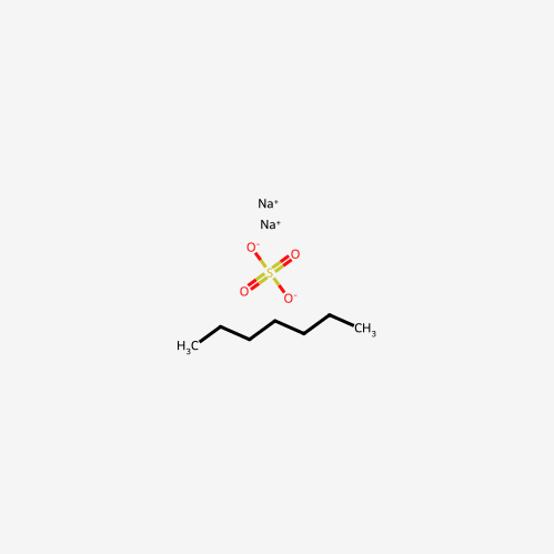 CCCCCCC.O=S(=O)([O-])[O-].[Na+].[Na+]